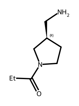 CCC(=O)N1CC[C@H](CN)C1